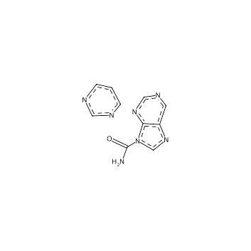 NC(=O)n1cnc2cncnc21.c1cncnc1